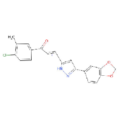 Cc1cc(C(=O)/C=C/c2cc(-c3ccc4c(c3)OCO4)n[nH]2)ccc1Cl